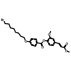 COC(=O)/C=C/c1ccc(OC(=O)c2ccc(OCCCCCCCCBr)cc2)c(OC)c1